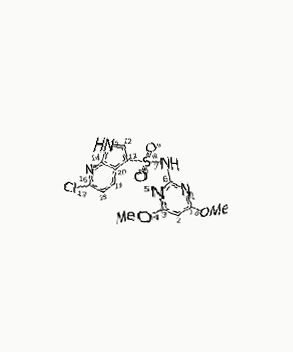 COc1cc(OC)nc(NS(=O)(=O)c2c[nH]c3nc(Cl)ccc23)n1